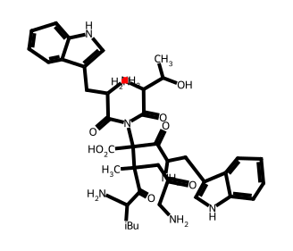 CCC(C)C(N)C(=O)C(C)(CC(=O)CN)C(C(=O)O)(C(=O)C(N)Cc1c[nH]c2ccccc12)N(C(=O)C(N)Cc1c[nH]c2ccccc12)C(=O)C(N)C(C)O